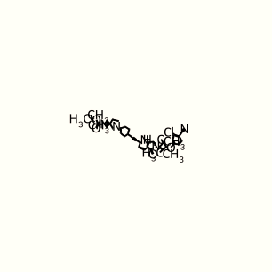 CC(C)(C)OC(=O)N1CC2(CCN(C3CCC(C#Cc4ccc5c(n4)CN([C@H]4C(C)(C)[C@H](Oc6ccc(C#N)c(Cl)c6)C4(C)C)C5=O)CC3)C2)C1